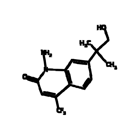 CC(C)(CO)c1ccc2c(C(F)(F)F)cc(=O)n(N)c2c1